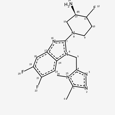 Cc1nnc(Cn2c(N3CCC(F)[C@H](N)C3)nc3cc(F)c(F)cc32)n1C